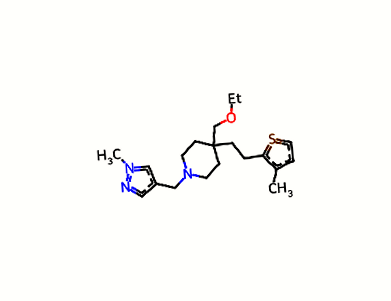 CCOCC1(CCc2sccc2C)CCN(Cc2cnn(C)c2)CC1